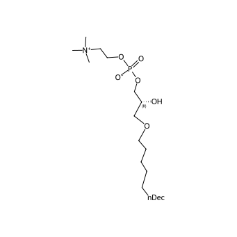 CCCCCCCCCCCCCCCOC[C@@H](O)COP(=O)([O-])OCC[N+](C)(C)C